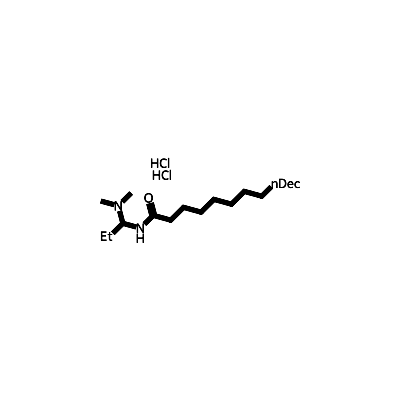 CCCCCCCCCCCCCCCCCC(=O)NC(CC)N(C)C.Cl.Cl